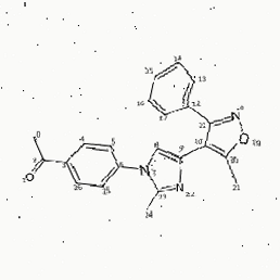 CC(=O)c1ccc(-n2cc(-c3c(-c4ccccc4)noc3C)nc2C)cc1